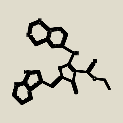 CCOC(=O)C1=C(Nc2ccc3ncncc3c2)O/C(=C\c2c[nH]c3ncccc23)C1=O